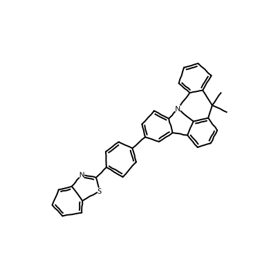 CC1(C)c2ccccc2-n2c3ccc(-c4ccc(-c5nc6ccccc6s5)cc4)cc3c3cccc1c32